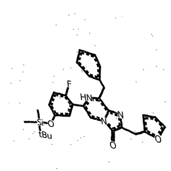 CC(C)(C)[Si](C)(C)Oc1ccc(F)c(-c2cn3c(=O)c(Cc4ccco4)nc-3c(Cc3ccccc3)[nH]2)c1